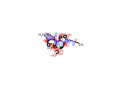 C#CCCC(=O)NCCCNC(=O)C1NC(=O)[C@H]2NC(=O)[C@H](NC(=O)C3NC(=O)[C@H](CC(N)=O)NC(=O)[C@H](NC(=O)[C@@H](CC(C)C)NC)[C@H](O)c4ccc(c(Cl)c4)Oc4cc3cc(c4O[C@@H]3O[C@H](CO)[C@@H](O)[C@H](O)[C@H]3OC3C[C@](C)(N)C(O)[C@H](C)O3)Oc3ccc(cc3Cl)[C@H]2O)c2ccc(O)c(c2)-c2c(O)cc(O)cc21